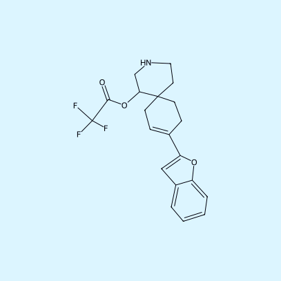 O=C(OC1CNCCC12CC=C(c1cc3ccccc3o1)CC2)C(F)(F)F